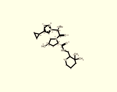 CC1(C)CCCOC1CNC(=O)[C@@H]1C[C@@H](O)CN1C(=O)[C@@H](n1cc(C2CC2)nn1)C(C)(C)C